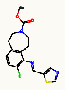 CC(C)(C)OC(=O)N1CCc2ccc(Cl)c(N=Cc3cncs3)c2CC1